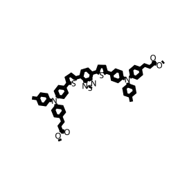 COC(=O)CCc1ccc(N(c2ccc(C)cc2)c2ccc(-c3ccc(-c4ccc(-c5ccc(-c6ccc(N(c7ccc(C)cc7)c7ccc(CCC(=O)OC)cc7)cc6)s5)c5nsnc45)s3)cc2)cc1